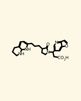 O=C(O)CC(c1cnc2ccoc2c1)N1CCC(CCCC2=CC=C3CCCNC3N2)C1=O